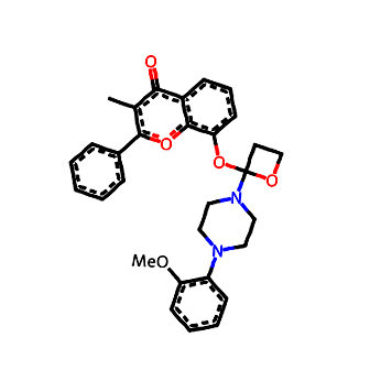 COc1ccccc1N1CCN(C2(Oc3cccc4c(=O)c(C)c(-c5ccccc5)oc34)CCO2)CC1